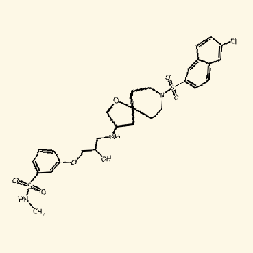 CNS(=O)(=O)c1cccc(OCC(O)CNC2COC3(CCN(S(=O)(=O)c4ccc5cc(Cl)ccc5c4)CC3)C2)c1